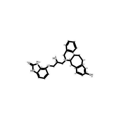 O=c1[nH]c2cccc(OCC(O)CN(Cc3ccccc3)C3CCCc4cc(O)ccc4C3)c2[nH]1